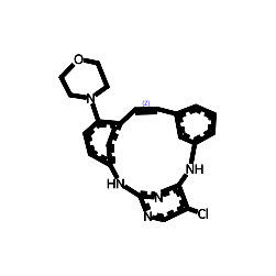 Clc1cnc2nc1Nc1cccc(c1)/C=C\c1cc(ccc1N1CCOCC1)N2